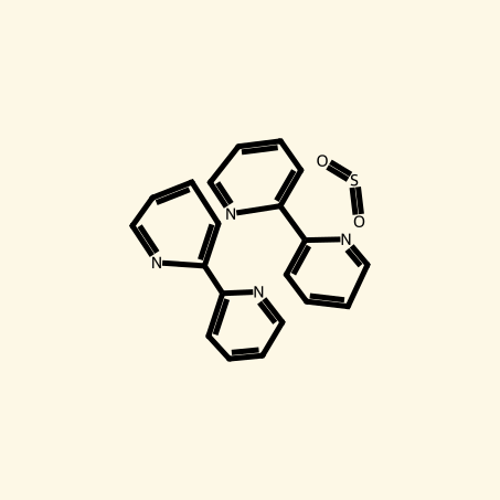 O=S=O.c1ccc(-c2ccccn2)nc1.c1ccc(-c2ccccn2)nc1